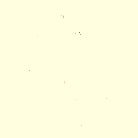 COc1cc(Nc2cnc3c(c2)CN(c2nn4c(=O)ccnc4cc2C)CC3)ccn1